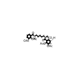 CC(=O)Oc1cccc(C(=O)NCCCCCN(CC(=O)O)C(=O)c2cccc(OC(C)=O)c2OC(C)=O)c1OC(C)=O